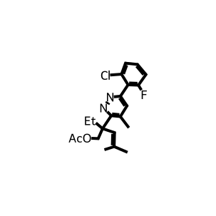 CCC(C=C(C)C)(COC(C)=O)c1nnc(-c2c(F)cccc2Cl)cc1C